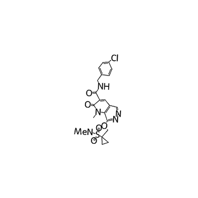 CNS(=O)(=O)C1(COc2nncc3cc(C(=O)NCc4ccc(Cl)cc4)c(=O)n(C)c23)CC1